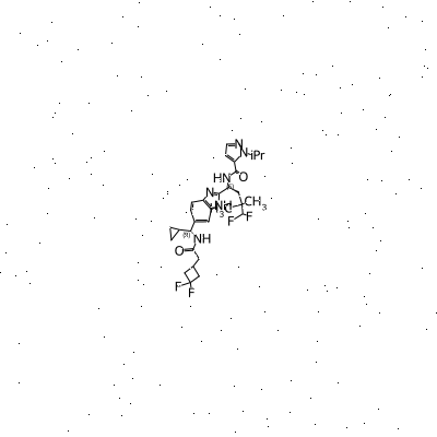 CC(C)n1nccc1C(=O)N[C@@H](CC(C)(C)C(F)F)c1nc2ccc([C@H](NC(=O)CC3CC(F)(F)C3)C3CC3)cc2[nH]1